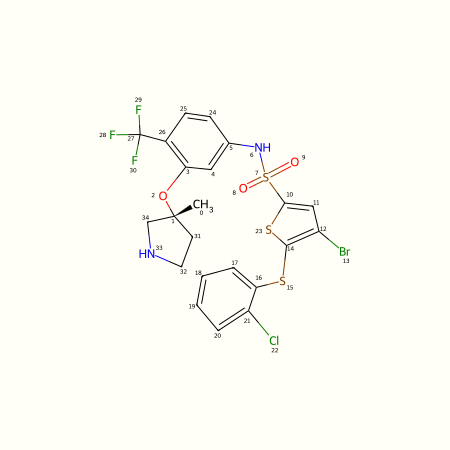 C[C@@]1(Oc2cc(NS(=O)(=O)c3cc(Br)c(Sc4ccccc4Cl)s3)ccc2C(F)(F)F)CCNC1